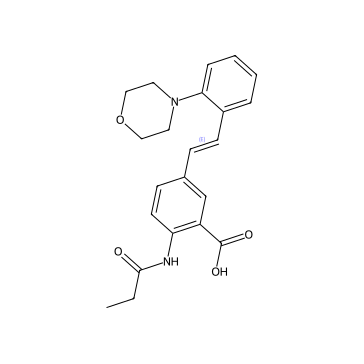 CCC(=O)Nc1ccc(/C=C/c2ccccc2N2CCOCC2)cc1C(=O)O